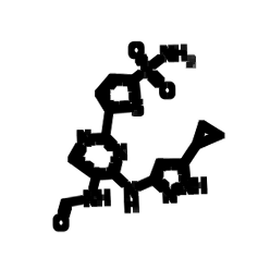 NS(=O)(=O)c1ccc(-c2ncc(NC=O)c(Nc3cc(C4CC4)[nH]n3)n2)s1